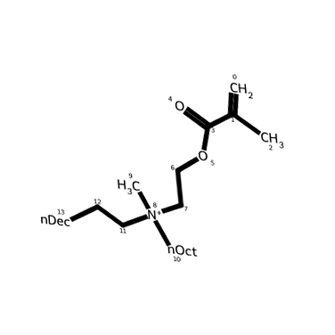 C=C(C)C(=O)OCC[N+](C)(CCCCCCCC)CCCCCCCCCCCC